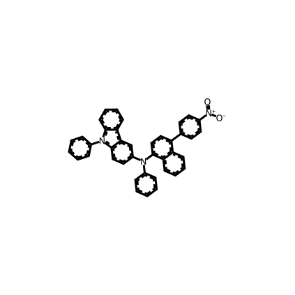 O=[N+]([O-])c1ccc(-c2ccc(N(c3ccccc3)c3ccc4c(c3)c3ccccc3n4-c3ccccc3)c3ccccc23)cc1